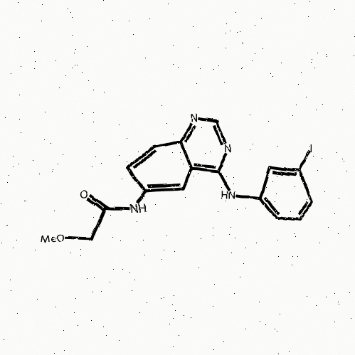 COCC(=O)Nc1ccc2ncnc(Nc3cccc(I)c3)c2c1